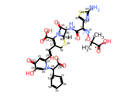 CC(C)(O/N=C(\C(=O)N[C@@H]1C(=O)N2C(C(=O)O)=C(C=Cc3cc(=O)c(O)cn3C(C(=O)O)c3ccccc3)CS[C@H]12)c1csc(N)n1)C(=O)O